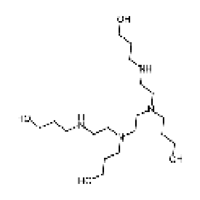 OCCCNCCN(CCCO)CCN(CCCO)CCNCCCO